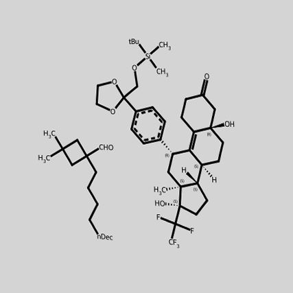 CC(C)(C)[Si](C)(C)OCC1(c2ccc([C@H]3C[C@@]4(C)[C@@H](CC[C@@]4(O)C(F)(F)C(F)(F)F)[C@@H]4CC[C@@]5(O)CC(=O)CCC5=C43)cc2)OCCO1.CCCCCCCCCCCCCCC1(C=O)CC(C)(C)C1